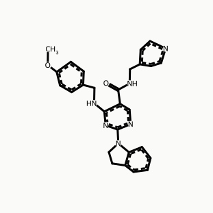 COc1ccc(CNc2nc(N3CCc4ccccc43)ncc2C(=O)NCc2ccncc2)cc1